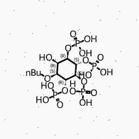 CCCCO[C@H]1[C@@H](O)[C@@H](OP(=O)(O)O)[C@H](OP(=O)(O)O)[C@@H](OP(=O)(O)O)[C@@H]1OP(=O)(O)O